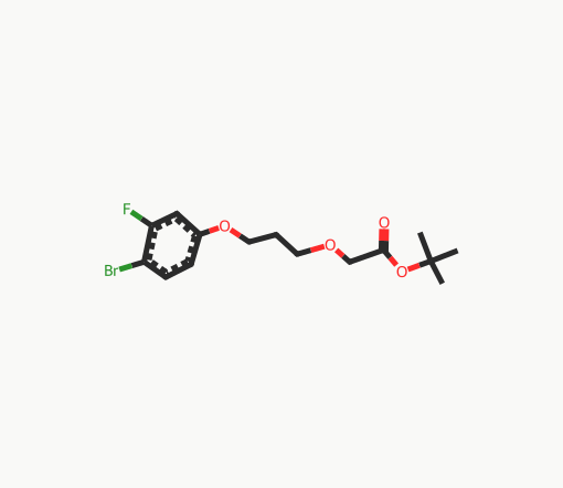 CC(C)(C)OC(=O)COCCCOc1ccc(Br)c(F)c1